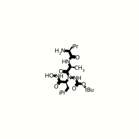 CC(C)C[C@@H](C(=O)NO)N(NC(=O)OC(C)(C)C)C(=O)[C@H](C)NC(=O)[C@@H](N)C(C)C